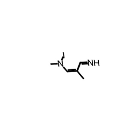 C/C(C=N)=C/N(C)I